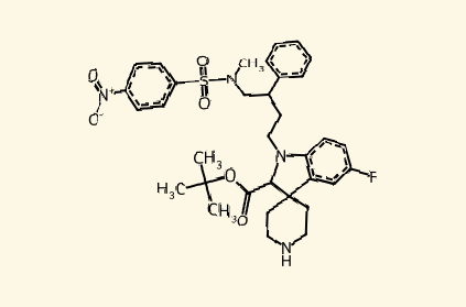 CN(CC(CCN1c2ccc(F)cc2C2(CCNCC2)C1C(=O)OC(C)(C)C)c1ccccc1)S(=O)(=O)c1ccc([N+](=O)[O-])cc1